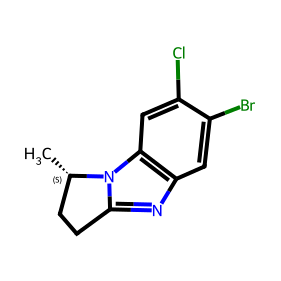 C[C@H]1CCc2nc3cc(Br)c(Cl)cc3n21